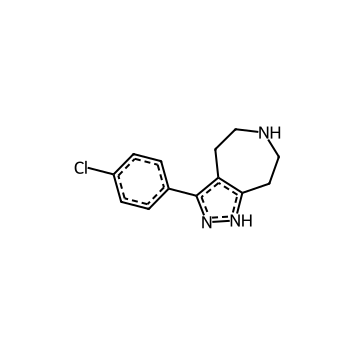 Clc1ccc(-c2n[nH]c3c2CCNCC3)cc1